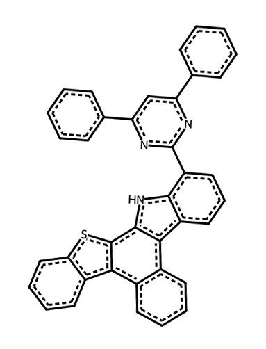 c1ccc(-c2cc(-c3ccccc3)nc(-c3cccc4c3[nH]c3c5sc6ccccc6c5c5ccccc5c43)n2)cc1